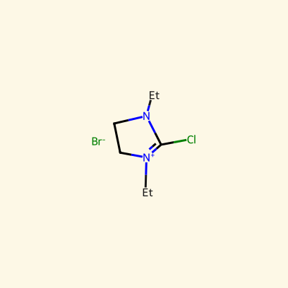 CCN1CC[N+](CC)=C1Cl.[Br-]